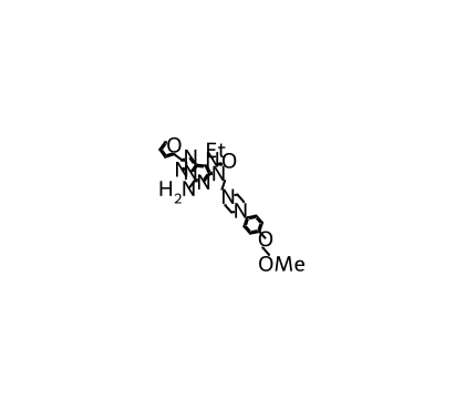 CCn1c(=O)n(CCN2CCN(c3ccc(OCCOC)cc3)CC2)c2nc(N)n3nc(-c4ccco4)nc3c21